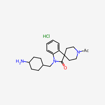 CC(=O)N1CCC2(CC1)C(=O)N(CC1CCC(N)CC1)c1ccccc12.Cl